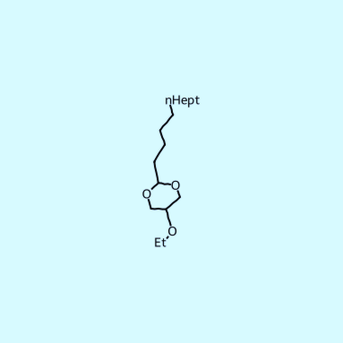 CCCCCCCCCCCC1OCC(OCC)CO1